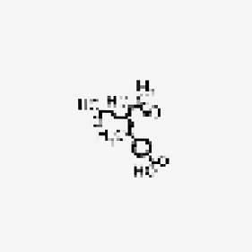 C=C(C=O)/C(O)=C(\C=C(/C)c1ccc(C(=O)O)cc1)CCC(=O)O